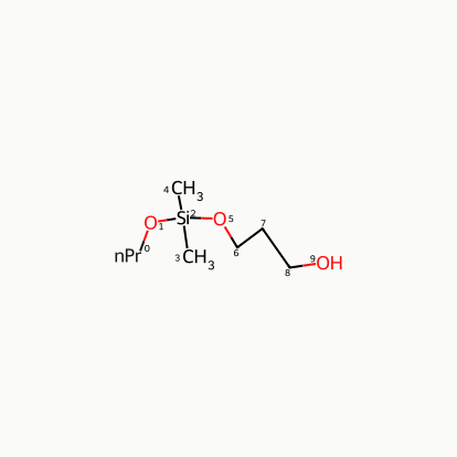 CCCO[Si](C)(C)OCCCO